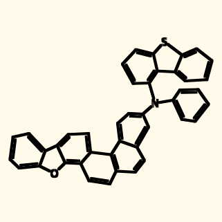 c1ccc(N(c2ccc3c(ccc4ccc5c(ccc6c7ccccc7oc65)c43)c2)c2cccc3sc4ccccc4c23)cc1